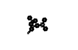 N#Cc1ccc2c(c1)c1ccc3c(c4ccccc4n3-c3ccccc3)c1n2-c1ccc(-c2nc(-c3ccccc3)nc(-c3ccccc3)n2)cc1